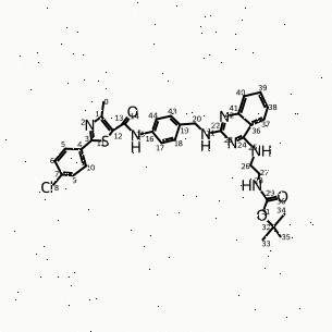 Cc1nc(-c2ccc(Cl)cc2)sc1C(=O)Nc1ccc(CNc2nc(NCCNC(=O)OC(C)(C)C)c3ccccc3n2)cc1